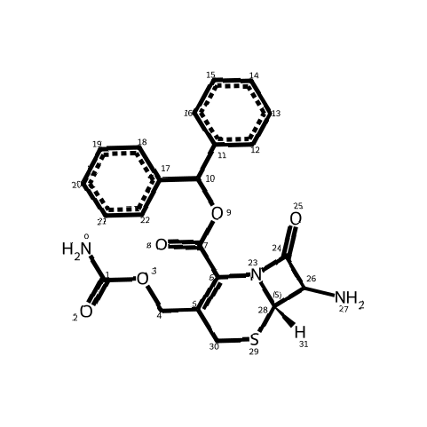 NC(=O)OCC1=C(C(=O)OC(c2ccccc2)c2ccccc2)N2C(=O)C(N)[C@@H]2SC1